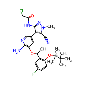 CC(Oc1cc(-c2c(NC(=O)CCl)nn(C)c2C#N)cnc1N)c1cc(F)ccc1O[Si](C)(C)C(C)(C)C